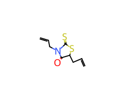 C=CCC1SC(=S)N(CC=C)C1=O